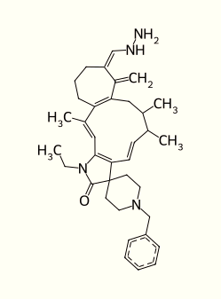 C=C1C2=C(CCC/C1=C/NN)/C(C)=C/C1=C(/C=C/C(C)C(C)C2)C2(CCN(Cc3ccccc3)CC2)C(=O)N1CC